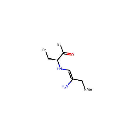 CCC(=O)[C@H](CC(C)C)N/C=C(\N)CNC